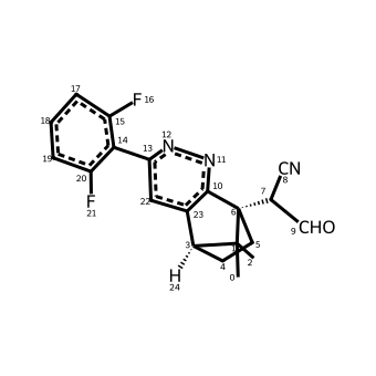 CC1(C)[C@H]2CC[C@]1(C(C#N)C=O)c1nnc(-c3c(F)cccc3F)cc12